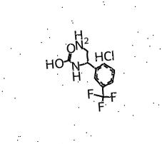 Cl.NCC(NC(=O)O)c1cccc(C(F)(F)F)c1